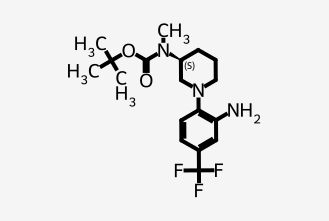 CN(C(=O)OC(C)(C)C)[C@H]1CCCN(c2ccc(C(F)(F)F)cc2N)C1